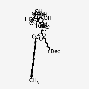 CC#CC#CC#CC#CC#CC#CC#CC(=O)OC[C@H](COP(=O)(O)OC1C(O)[C@H](OP(=O)(O)O)[C@H](OP(=O)(O)O)C(O)[C@@H]1O)OC(=O)CCCCCCCCCCCCCCC